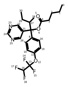 CCCCC(=O)OC(c1ccc(OC(F)(F)C(F)F)cc1)(c1cncnc1)C(C)CC